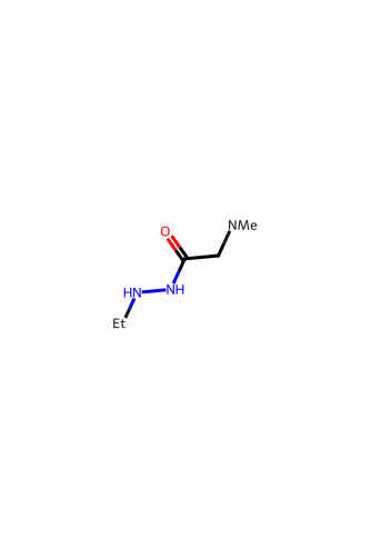 CCNNC(=O)CNC